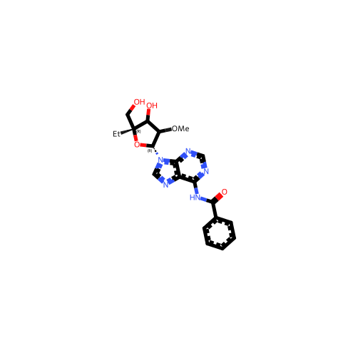 CC[C@]1(CO)O[C@@H](n2cnc3c(NC(=O)c4ccccc4)ncnc32)C(OC)C1O